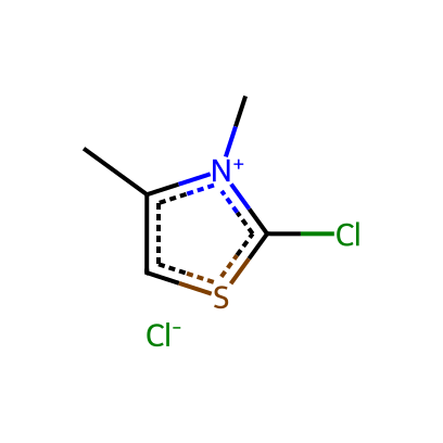 Cc1csc(Cl)[n+]1C.[Cl-]